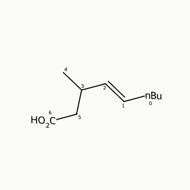 CCCCC=CC(C)CC(=O)O